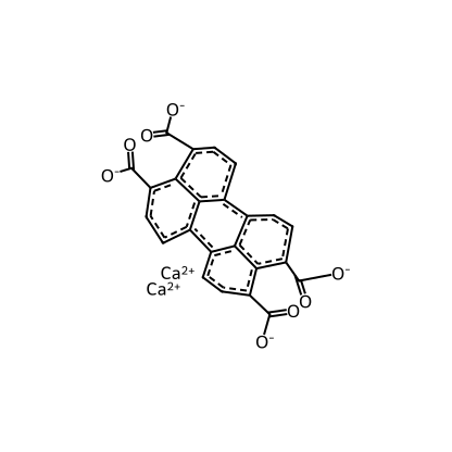 O=C([O-])c1ccc2c3ccc(C(=O)[O-])c4c(C(=O)[O-])ccc(c5ccc(C(=O)[O-])c1c25)c43.[Ca+2].[Ca+2]